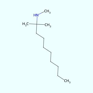 CCCCCCCCC(C)(C)NC